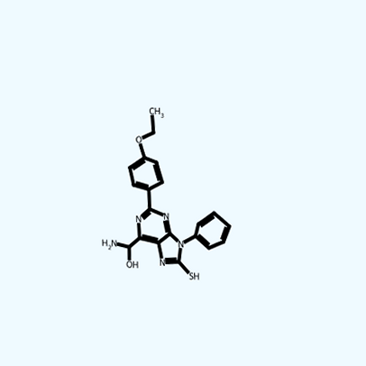 CCOc1ccc(-c2nc(C(N)O)c3nc(S)n(-c4ccccc4)c3n2)cc1